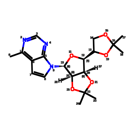 Cc1ncnc2c1ccn2[C@@H]1O[C@@H](C2COC(C)(C)O2)[C@H]2OC(C)(C)O[C@H]21